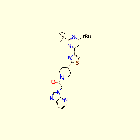 CC(C)(C)c1cc(-c2csc(C3CCN(C(=O)Cn4cnc5cccnc54)CC3)n2)nc(C2(C)CC2)n1